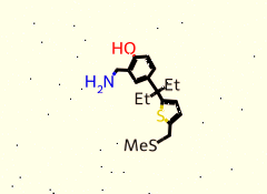 CCC(CC)(c1ccc(O)c(CN)c1)c1ccc(CSC)s1